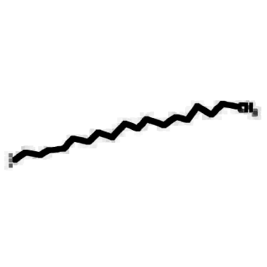 [C]CCCCCCCCCCCCCCCCCC